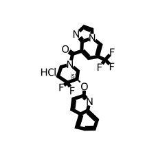 Cl.O=C(c1cc(C(F)(F)F)cn2ccnc12)N1CCC(F)(F)[C@@H](Oc2ccc3ccccc3n2)C1